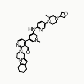 C[C@H]1CN(C2COC2)CCN1c1ccc(NC2=CC(c3ccnc(N4CCn5c(cc6c5CCCC6)C4)c3C=O)=CN(C)C2)nc1